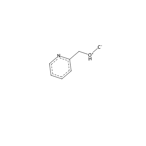 [CH2-][OH+]Cc1ccccn1